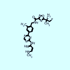 CN/C=C\C(=N)Nc1ncnc(-c2ccc(CNC(=O)c3noc(C(C)(C)CF)n3)c(C)c2)n1